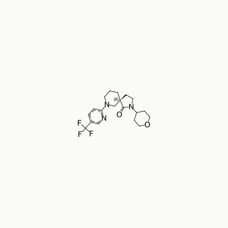 O=C1N(C2CCOCC2)CC[C@@]12CCCN(c1ccc(C(F)(F)F)cn1)C2